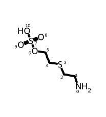 NCCSCCOS(=O)(=O)O